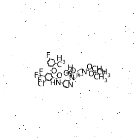 Cc1cc(F)ccc1Oc1cc(C(F)(F)F)c(Cl)cc1C(=O)Nc1ccnc(N(C[C@@H]2CCN(C(=O)OC(C)(C)C)C2)[SH](=O)=O)c1